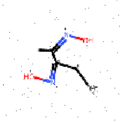 CC(=N/O)/C(CC(C)C)=N\O